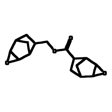 O=C(OCC1CC2CC1C1OC21)C1CC2CC1C1OC21